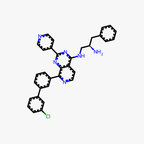 N[C@@H](CNc1nc(-c2ccncc2)nc2c(-c3cccc(-c4cccc(Cl)c4)c3)nccc12)Cc1ccccc1